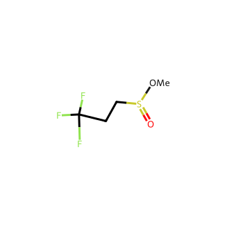 COS(=O)CCC(F)(F)F